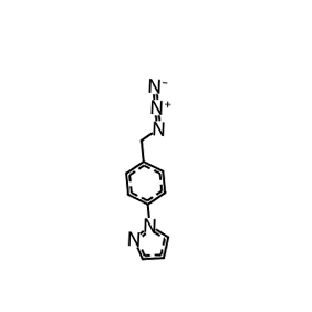 [N-]=[N+]=NCc1ccc(-n2cccn2)cc1